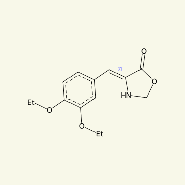 CCOc1ccc(/C=C2\NCOC2=O)cc1OCC